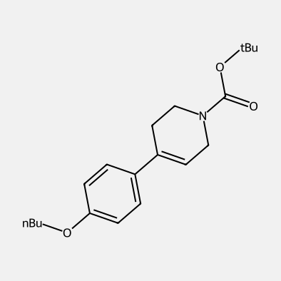 CCCCOc1ccc(C2=CCN(C(=O)OC(C)(C)C)CC2)cc1